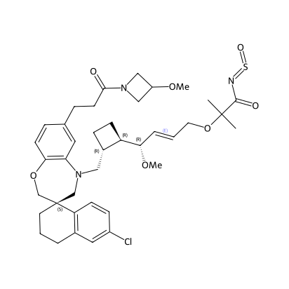 COC1CN(C(=O)CCc2ccc3c(c2)N(C[C@@H]2CC[C@H]2[C@H](/C=C/COC(C)(C)C(=O)N=S=O)OC)C[C@@]2(CCCc4cc(Cl)ccc42)CO3)C1